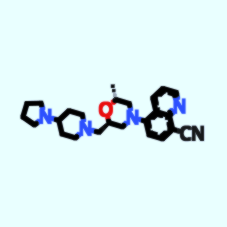 C[C@@H]1CN(c2ccc(C#N)c3ncccc23)C[C@@H](CN2CCC(N3CCCC3)CC2)O1